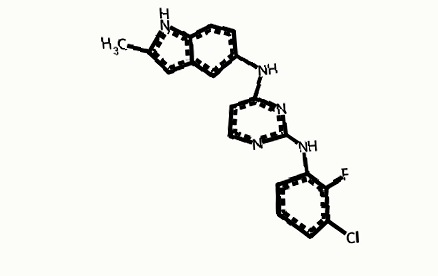 Cc1cc2cc(Nc3ccnc(Nc4cccc(Cl)c4F)n3)ccc2[nH]1